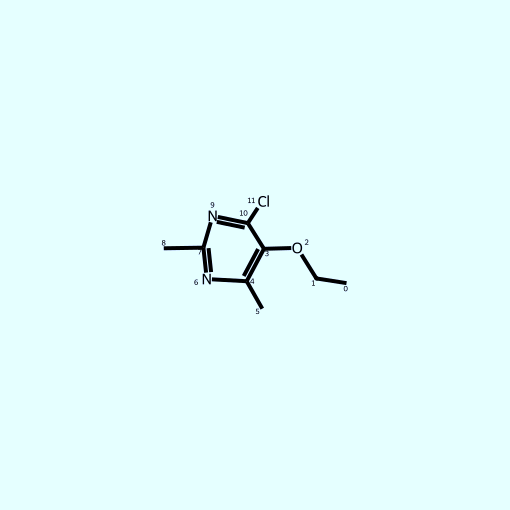 CCOc1c(C)nc(C)nc1Cl